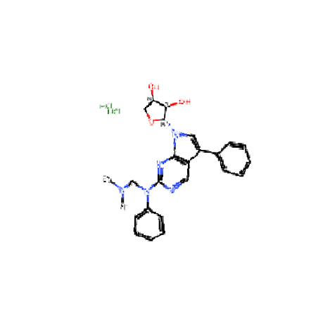 CCN(CC)CN(c1ccccc1)c1ncc2c(-c3ccccc3)cn([C@@H]3OC[C@@H](O)[C@H]3O)c2n1.Cl.Cl